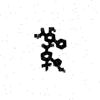 Cn1ccc(-c2cc(C(=O)Nc3cc(C(N)=O)c(N)cc3-c3ccccc3)ccc2C(F)(F)F)n1